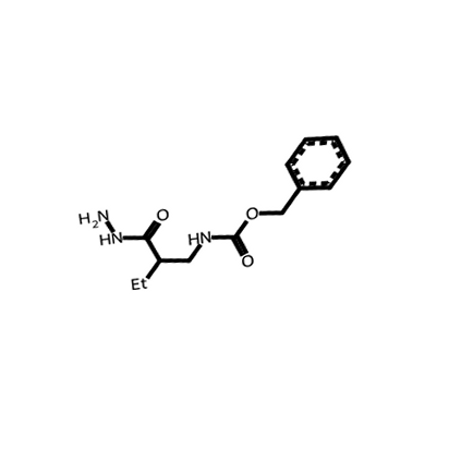 CCC(CNC(=O)OCc1ccccc1)C(=O)NN